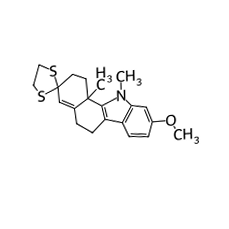 COc1ccc2c3c(n(C)c2c1)C1(C)CCC2(C=C1CC3)SCCS2